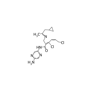 C/C(CC1CC1)=N\C/C(C(=O)Nc1cnc(N)cn1)=C(Cl)\C=C/CCl